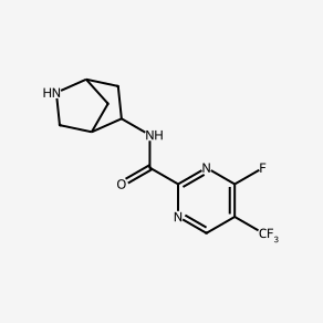 O=C(NC1CC2CC1CN2)c1ncc(C(F)(F)F)c(F)n1